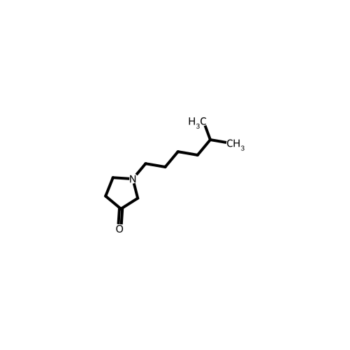 CC(C)CCCCN1CCC(=O)C1